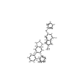 CCc1nc2c(C)cc(Cn3nccn3)nc2n1[C@H]1CCc2cc(-c3ccccc3-c3nnn[nH]3)ccc21